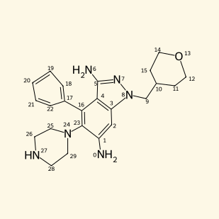 Nc1cc2c(c(N)nn2CC2CCOCC2)c(-c2ccccc2)c1N1CCNCC1